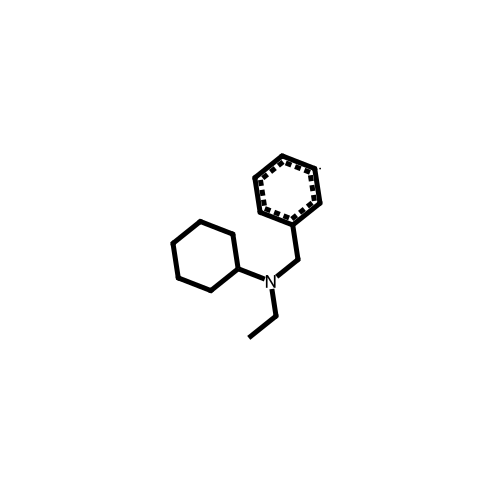 CCN(Cc1c[c]ccc1)C1CCCCC1